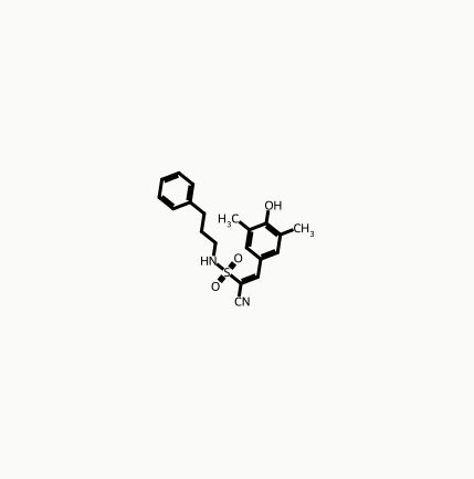 Cc1cc(/C=C(/C#N)S(=O)(=O)NCCCc2ccccc2)cc(C)c1O